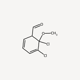 COC1(Cl)C(Cl)=CC=CC1C=O